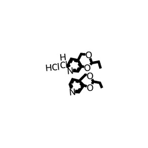 CCC1OCc2ccncc2O1.CCC1OCc2ccncc2O1.Cl.Cl